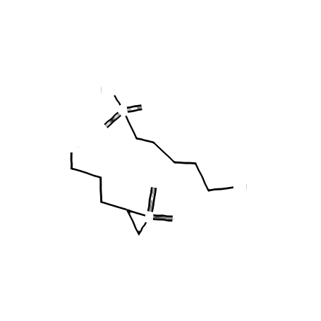 CCCCC1CS1(=O)=O.CCCCCCS(=O)(=O)O